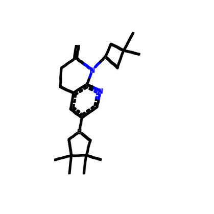 C=C1CCc2cc(B3CC(C)(C)C(C)(C)C3)cnc2N1C1CC(C)(C)C1